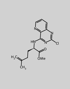 C=C(C)CC[C@@H](Nc1nc(Cl)nc2cccnc12)C(=O)OC